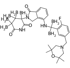 BC(B)(Nc1cccc2c1CN(C1(B)C(=O)NC(=O)C(B)(B)C1(B)B)C2=O)c1cc(CN2CC(C)(C)OC(C)(C)C2)ccc1F